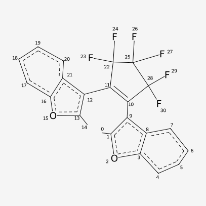 Cc1oc2ccccc2c1C1=C(c2c(C)oc3ccccc23)C(F)(F)C(F)(F)C1(F)F